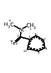 CN(C)C(=[Te])c1ccccc1